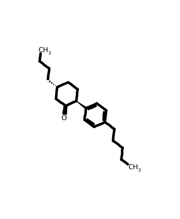 CCCCCc1ccc([C@@H]2CC[C@@H](CCCC)CC2=O)cc1